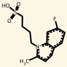 Cc1ccc2ccc(F)cc2[n+]1CCCCS(=O)(=O)O